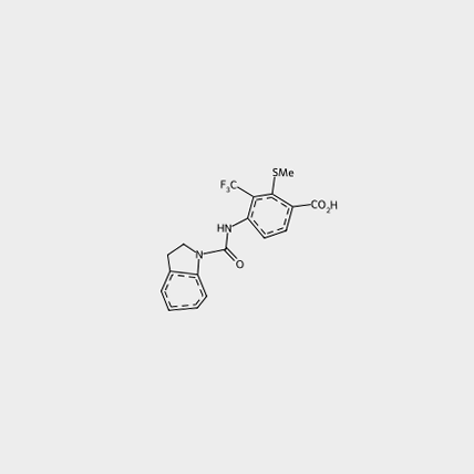 CSc1c(C(=O)O)ccc(NC(=O)N2CCc3ccccc32)c1C(F)(F)F